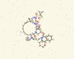 CC[C@@H]1C[C@H](C)CC/C=C\[C@@H]2C[C@@]2(C(=O)NS(=O)(=O)C2(C)CC2)NC(=O)[C@@H]2C[C@@H](Oc3nc4c(c5ccccc35)OCCC4)CN2C(=O)[C@H]1N(C(=O)O)C(C)(C)C